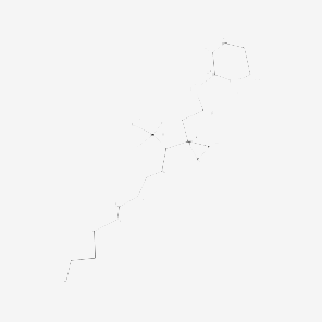 CCCCCCCCCC(C(C)(C)Cl)C1(CCOC2CCCCO2)CC1